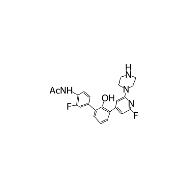 CC(=O)Nc1ccc(-c2cccc(-c3cc(F)nc(N4CCNCC4)c3)c2O)cc1F